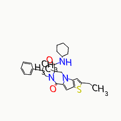 CCc1cc2c(cc3n2CC(C)(C(=O)NC2CCCCC2)N(CC(C)c2ccccc2)C3=O)s1